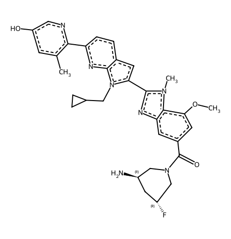 COc1cc(C(=O)N2C[C@H](N)C[C@@H](F)C2)cc2nc(-c3cc4ccc(-c5ncc(O)cc5C)nc4n3CC3CC3)n(C)c12